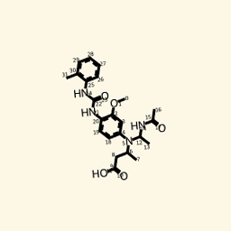 COc1cc(N(C(C)CC(=O)O)C(C)NC(C)=O)ccc1NC(=O)Nc1ccccc1C